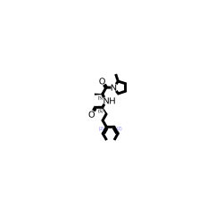 C/C=C\C(=C/C)CC[C@@H](C=O)N[C@@H](C)C(=O)N1CCCC1C